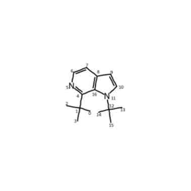 CC(C)(C)c1nccc2ccn(C(C)(C)C)c12